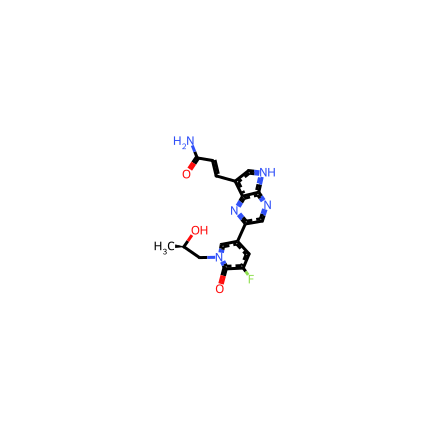 C[C@@H](O)Cn1cc(-c2cnc3[nH]cc(C=CC(N)=O)c3n2)cc(F)c1=O